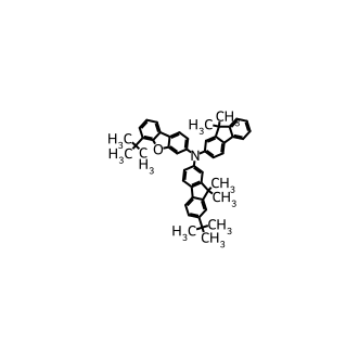 CC(C)(C)c1ccc2c(c1)C(C)(C)c1cc(N(c3ccc4c(c3)C(C)(C)c3ccccc3-4)c3ccc4c(c3)oc3c(C(C)(C)C)cccc34)ccc1-2